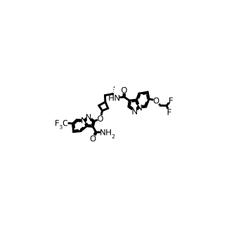 C[C@@H](CC1CC(Oc2nn3cc(C(F)(F)F)ccc3c2C(N)=O)C1)NC(=O)c1cnn2cc(OCC(F)F)ccc12